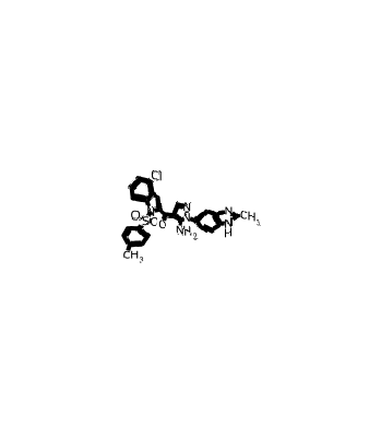 Cc1ccc(S(=O)(=O)n2c(C(=O)c3cnn(-c4ccc5[nH]c(C)nc5c4)c3N)cc3c(Cl)cccc32)cc1